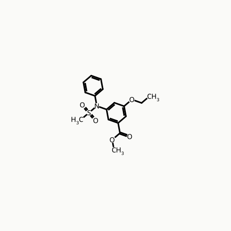 CCOc1cc(C(=O)OC)cc(N(c2ccccc2)S(C)(=O)=O)c1